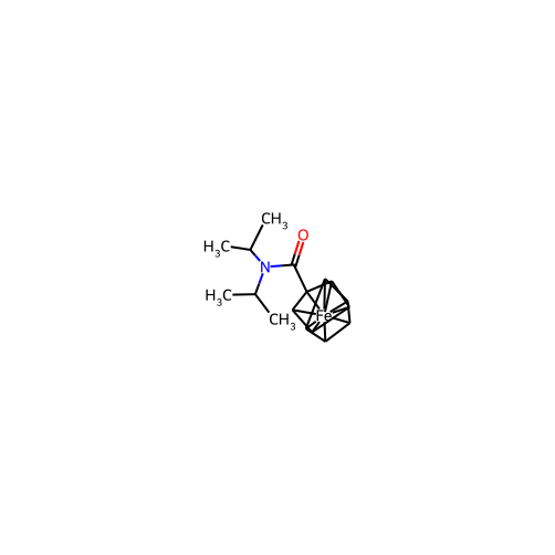 CC(C)N(C(=O)[C]12[CH]3[CH]4[CH]5[CH]1[Fe]45321678[CH]2[CH]1[CH]6[CH]7[CH]28)C(C)C